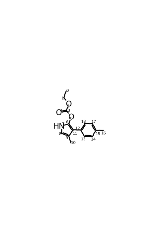 CCOC(=O)Oc1[nH]cc(C)c1-c1ccc(C)cc1